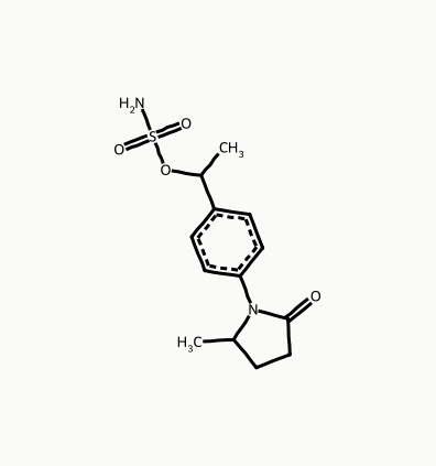 CC(OS(N)(=O)=O)c1ccc(N2C(=O)CCC2C)cc1